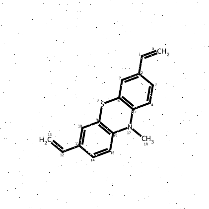 C=Cc1ccc2c(c1)Sc1cc(C=C)ccc1N2C